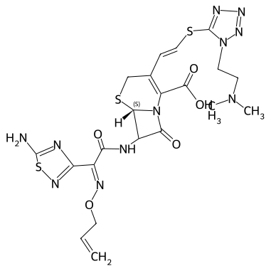 C=CCON=C(C(=O)NC1C(=O)N2C(C(=O)O)=C(C=CSc3nnnn3CCN(C)C)CS[C@@H]12)c1nsc(N)n1